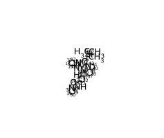 C[Si](C)(C)CCOCC(c1nc2ccccc2[nH]1)N(Cc1cccc(C(=O)Nc2ccccn2)c1)C1CCCc2cccnc21